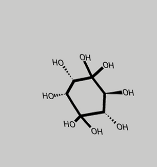 O[C@@H]1[C@H](O)C(O)(O)[C@@H](O)[C@H](O)C1(O)O